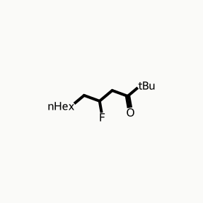 CCCCCCCC(F)CC(=O)C(C)(C)C